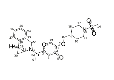 C[C@@H](c1cc(=O)c(OCC2CCN(S(C)(=O)=O)CC2)co1)N1Cc2ccccc2[C@H]2CC21